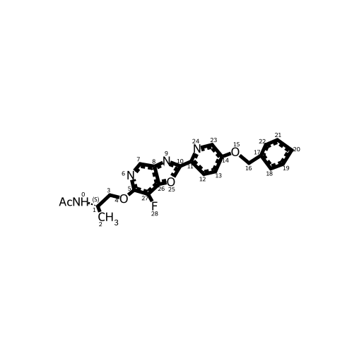 CC(=O)N[C@@H](C)COc1ncc2nc(-c3ccc(OCc4ccccc4)cn3)oc2c1F